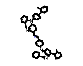 Cc1ccccc1-c1ccc(N(c2ccc(/C=C/c3ccc(N(c4ccc(-c5ccccc5C)cc4)c4ccccc4C#N)cc3)cc2)c2ccccc2C#N)cc1